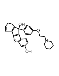 Oc1ccc2c3c(sc2c1)C1=C(CCC=C1)C3(O)c1ccc(OCCN2CCCCC2)cc1